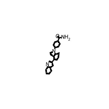 NC(=O)c1ccc(-n2ccc3c(-c4cnc5ccccc5c4)cccc32)cc1